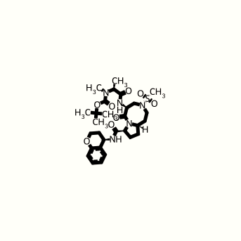 C[C@@H](C(=O)N[C@H]1CN(S(C)(=O)=O)CC[C@H]2CC[C@@H](C(=O)N[C@@H]3CCOc4ccccc43)N2C1=O)N(C)C(=O)OC(C)(C)C